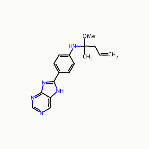 C=CCC(C)(Nc1ccc(-c2nc3ncncc3[nH]2)cc1)OC